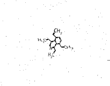 C=Cc1ccc(C=C)c2c(C=C)ncc(C=C)c12